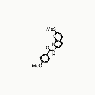 COc1ccc(C(=O)Nc2ccc3ccc(SC)nc3n2)cc1